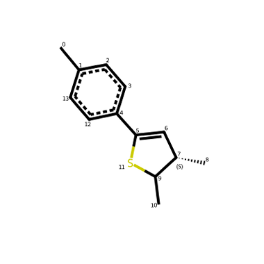 Cc1ccc(C2=C[C@H](C)C(C)S2)cc1